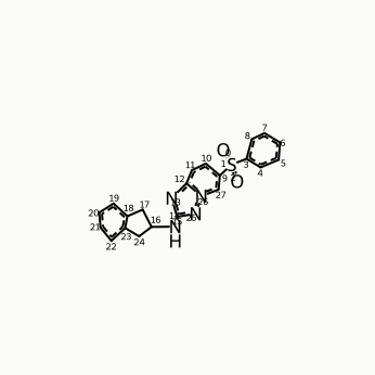 O=S(=O)(c1ccccc1)c1ccc2nc(NC3Cc4ccccc4C3)nn2c1